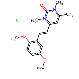 COc1ccc(OC)c(C=Cc2cc(C)n(C)c(=O)[n+]2C)c1.[Cl-]